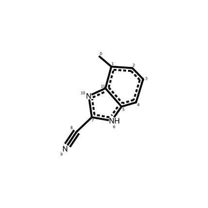 Cc1cccc2[nH]c(C#N)nc12